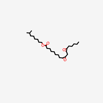 CCCCCC1OC1CC1OC1CCCCCCCC(=O)OCCCCCCC(C)C